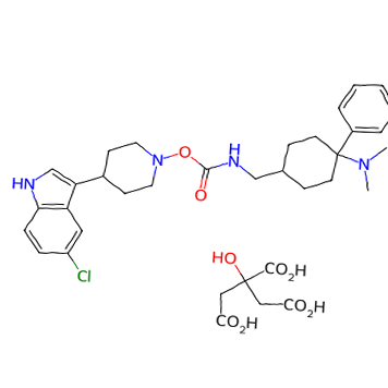 CN(C)C1(c2ccccc2)CCC(CNC(=O)ON2CCC(c3c[nH]c4ccc(Cl)cc34)CC2)CC1.O=C(O)CC(O)(CC(=O)O)C(=O)O